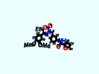 CCC1OC(=O)N(Cc2cccc(NC(=O)c3ccco3)c2)N=C1c1ccc(OC)c(OC)c1